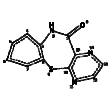 O=C1Nc2ccccc2Sc2nccnc21